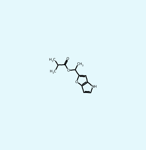 CC(C)C(=O)OC(C)c1cc2[nH]ccc2o1